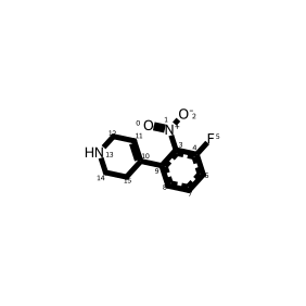 O=[N+]([O-])c1c(F)cccc1C1=CCNCC1